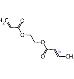 C=CC(=O)OCCOC(=O)/C=C/C